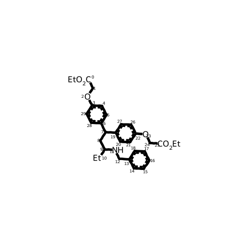 CCOC(=O)COc1ccc(C(CC(CC)NCc2ccccc2)c2ccc(OCC(=O)OCC)cc2)cc1